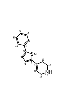 C1=C(c2ccc(-c3ccccc3)s2)CCNC1